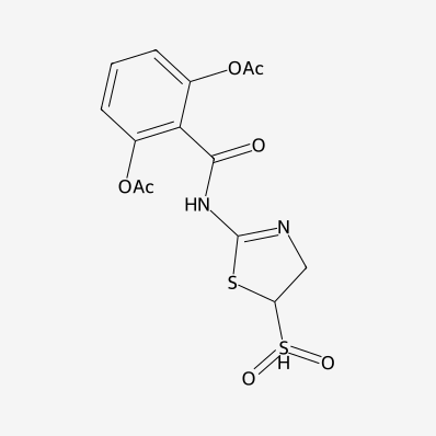 CC(=O)Oc1cccc(OC(C)=O)c1C(=O)NC1=NCC([SH](=O)=O)S1